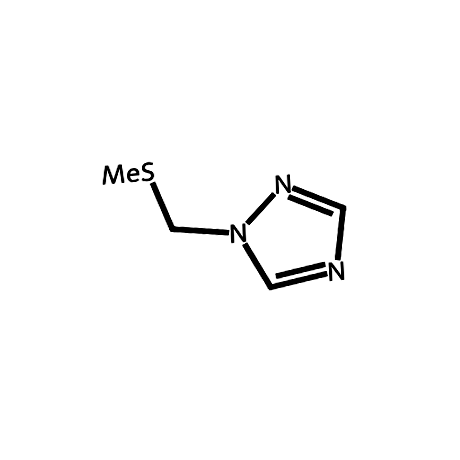 CSCn1cncn1